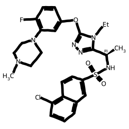 CCn1c(Oc2ccc(F)c(N3CCN(C)CC3)c2)nnc1[C@@H](C)NS(=O)(=O)c1ccc2c(Cl)cccc2c1